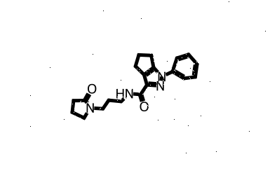 O=C(NCCCN1CCCC1=O)c1nn(-c2ccccc2)c2c1CCC2